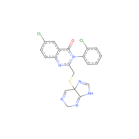 O=c1c2cc(Cl)ccc2nc(CSC23C=NCN=C2NC=N3)n1-c1ccccc1Cl